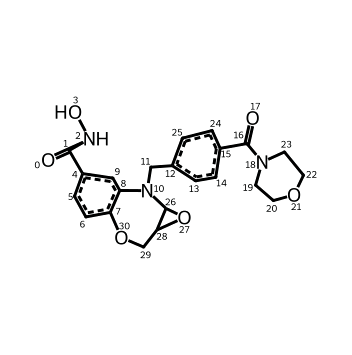 O=C(NO)c1ccc2c(c1)N(Cc1ccc(C(=O)N3CCOCC3)cc1)C1OC1CO2